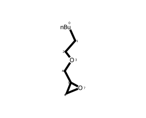 CCCCCCOCC1CO1